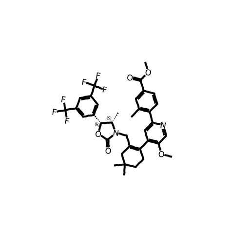 COC(=O)c1ccc(-c2cc(C3=C(CN4C(=O)O[C@H](c5cc(C(F)(F)F)cc(C(F)(F)F)c5)[C@@H]4C)CC(C)(C)CC3)c(OC)cn2)c(C)c1